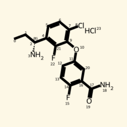 CC[C@@H](N)c1ccc(Cl)c(Oc2ccc(F)c(C(N)=O)c2)c1F.Cl